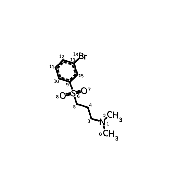 CN(C)CCCS(=O)(=O)c1cccc(Br)c1